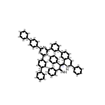 N=C(/C(=C1\NC(c2ccccc2)=Cc2ccc(-c3cccc(-c4nc(-c5ccc(-c6ccccc6)cc5)nc(-c5ccc(-c6ccccc6)cc5)n4)c3)cc21)c1ccccc1)c1ccccc1